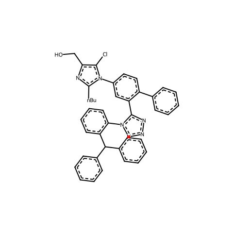 CCCCc1nc(CO)c(Cl)n1-c1ccc(-c2ccccc2)c(-c2nnnn2-c2ccccc2C(c2ccccc2)c2ccccc2)c1